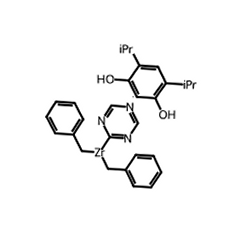 CC(C)c1cc(C(C)C)c(O)[c]c1O.c1ccc([CH2][Zr]([CH2]c2ccccc2)[c]2ncncn2)cc1